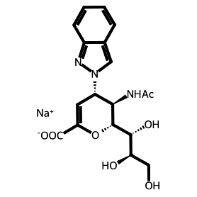 CC(=O)N[C@H]1[C@H]([C@H](O)[C@H](O)CO)OC(C(=O)[O-])=C[C@@H]1n1cc2ccccc2n1.[Na+]